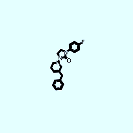 O=C1N(c2ccc(F)cc2)CCN1N1CCC=C(Cc2ccccc2)C1